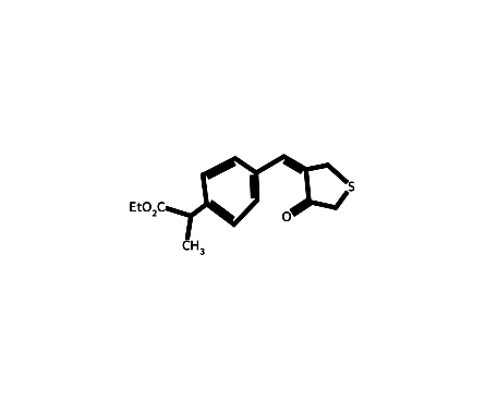 CCOC(=O)C(C)c1ccc(C=C2CSCC2=O)cc1